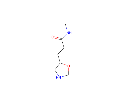 CNC(=O)CCC1CNCO1